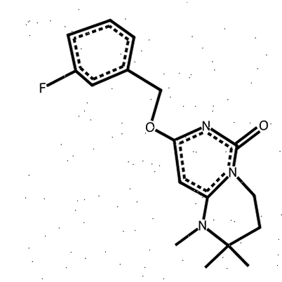 CN1c2cc(OCc3cccc(F)c3)nc(=O)n2CCC1(C)C